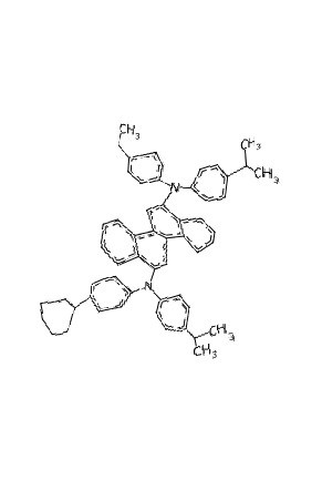 CCc1ccc(N(c2ccc(C(C)C)cc2)c2cc3c4ccccc4c(N(c4ccc(C(C)C)cc4)c4ccc(C5CCCCC5)cc4)cc3c3ccccc23)cc1